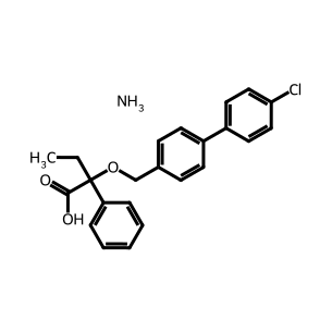 CCC(OCc1ccc(-c2ccc(Cl)cc2)cc1)(C(=O)O)c1ccccc1.N